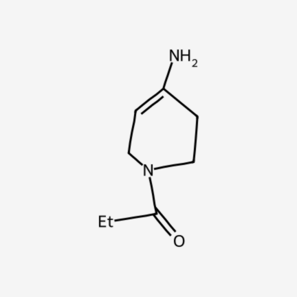 CCC(=O)N1CC=C(N)CC1